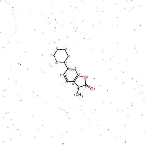 CC1C(=O)Oc2cc(C3CCCCC3)ccc21